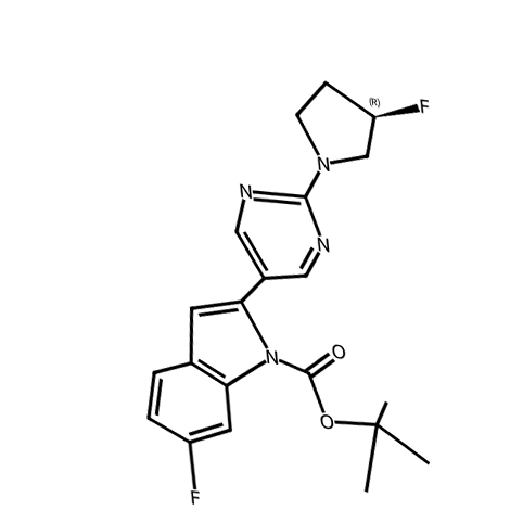 CC(C)(C)OC(=O)n1c(-c2cnc(N3CC[C@@H](F)C3)nc2)cc2ccc(F)cc21